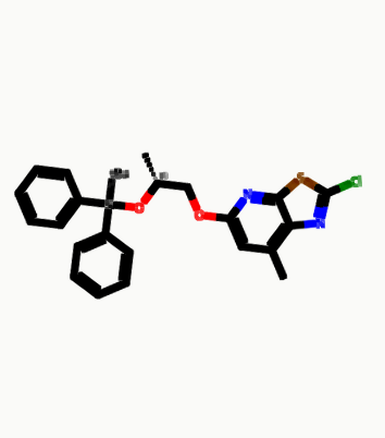 Cc1cc(OC[C@@H](C)O[Si](c2ccccc2)(c2ccccc2)C(C)(C)C)nc2sc(Cl)nc12